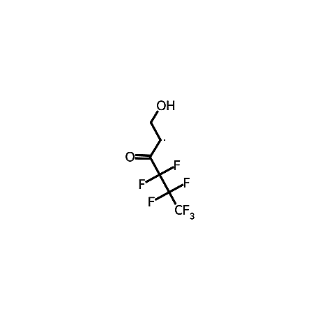 O=C([CH]CO)C(F)(F)C(F)(F)C(F)(F)F